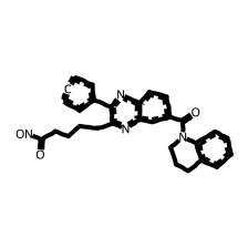 O=NC(=O)CCCCc1nc2cc(C(=O)N3CCCc4ccccc43)ccc2nc1-c1ccccc1